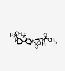 CNc1cc(-c2ccc(N3C[C@H](CNC(C)=O)OC3=O)cc2F)ccn1